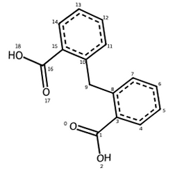 O=C(O)c1ccccc1Cc1ccccc1C(=O)O